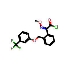 CON=C(C(=O)Cl)c1ccccc1COc1cccc(C(F)(F)F)c1